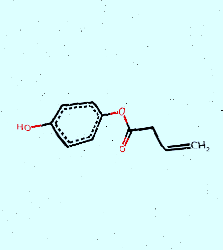 C=CCC(=O)Oc1ccc(O)cc1